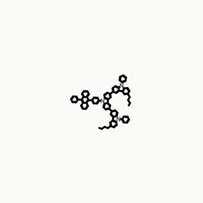 CCCCc1ccc2c(c1)c1cc(-c3ccc4c(c3)c3cc(-c5ccc6c(c5)c5cc(CCCC)ccc5n6-c5ccccc5)ccc3n4-c3ccc(-c4c5ccccc5c(-c5ccccc5)c5ccccc45)cc3)ccc1n2-c1ccccc1